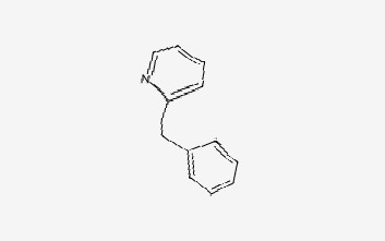 [c]1ccccc1Cc1ccccn1